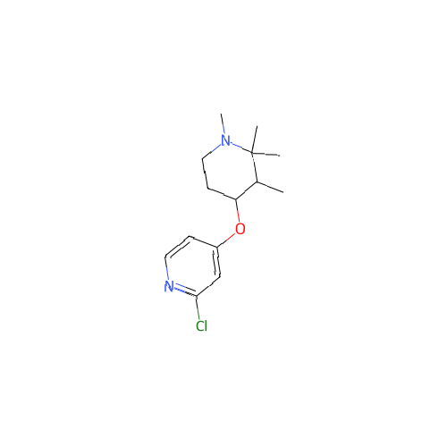 CC1C(Oc2ccnc(Cl)c2)CCN(C)C1(C)C